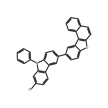 Clc1ccc2c3cc(-c4ccc5oc6ccc7ccccc7c6c5c4)ccc3n(-c3ccccc3)c2c1